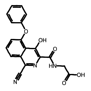 N#Cc1nc(C(=O)NCC(=O)O)c(O)c2c(Oc3ccccc3)cccc12